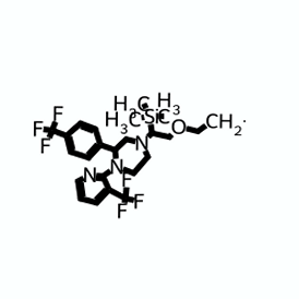 [CH2]COCC(N1CCN(c2ncccc2C(F)(F)F)C(c2ccc(C(F)(F)F)cc2)C1)[Si](C)(C)C